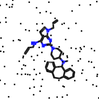 C=CCNc1nc(N2CCC(N(C)C3c4ccccc4CCc4ccccc43)CC2)nc2c1ccn2CC=C